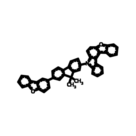 CC1(C)c2cc(-c3ccc4oc5ccccc5c4c3)ccc2-c2ccc(-n3c4ccccc4c4c5c(ccc43)oc3ccccc35)cc21